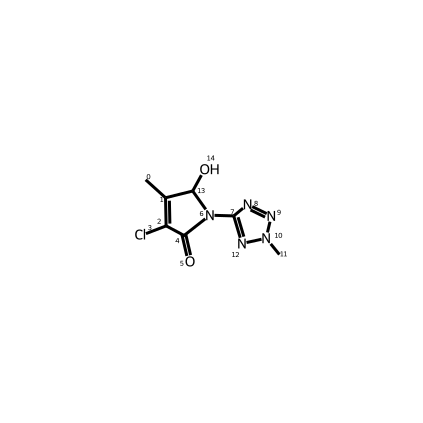 CC1=C(Cl)C(=O)N(c2nnn(C)n2)C1O